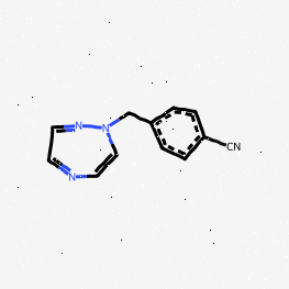 N#Cc1ccc(CN2C=CN=CC=N2)cc1